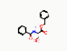 O=C(N[C@@H](CO)C(=O)OCc1ccccc1)c1ccccc1